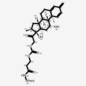 C=C1C=C[C@]2(C)C(=C1)CC[C@@H]1[C@H]3C[C@H](C)[C@@](O)(C(=O)COC(=O)OCCC(=O)NCCCCC)[C@]3(C)C[C@@H](O)[C@]12F